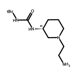 CC(C)(C)NC(=O)N[C@@H]1CCCN(CCN)C1